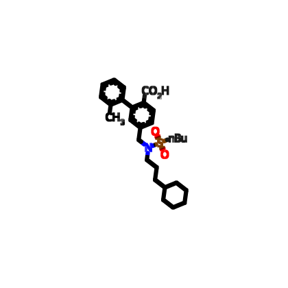 CCCCS(=O)(=O)N(CCCC1CCCCC1)Cc1ccc(C(=O)O)c(-c2ccccc2C)c1